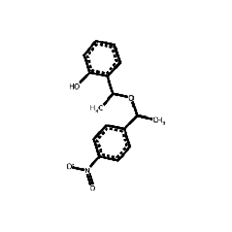 CC(OC(C)c1ccccc1O)c1ccc([N+](=O)[O-])cc1